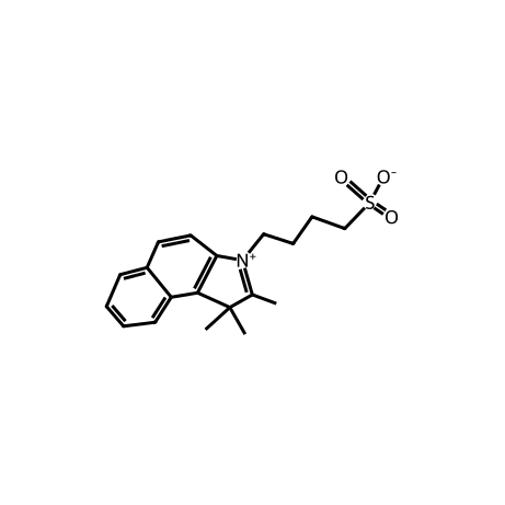 CC1=[N+](CCCCS(=O)(=O)[O-])c2ccc3ccccc3c2C1(C)C